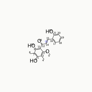 COc1c(C)c(O)c(C)c(O)c1C(=O)/C=C/c1ccccc1O